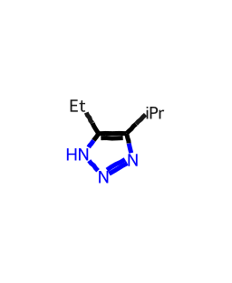 CCc1[nH]nnc1C(C)C